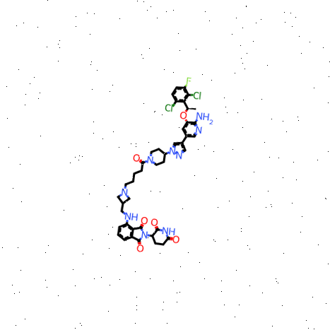 C[C@@H](Oc1cc(-c2cnn(C3CCN(C(=O)CCCCN4CC(CNc5cccc6c5C(=O)N(C5CCC(=O)NC5=O)C6=O)C4)CC3)c2)cnc1N)c1c(Cl)ccc(F)c1Cl